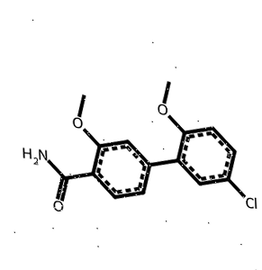 COc1cc(-c2cc(Cl)ccc2OC)ccc1C(N)=O